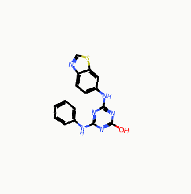 Oc1nc(Nc2ccccc2)nc(Nc2ccc3ncsc3c2)n1